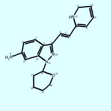 Nc1ccc2c(/C=C/C3=CC=CCN3)nn(C3CCCCO3)c2c1